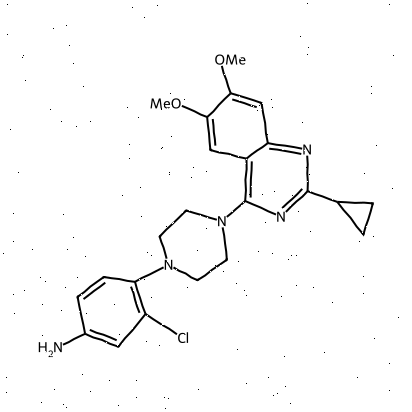 COc1cc2nc(C3CC3)nc(N3CCN(c4ccc(N)cc4Cl)CC3)c2cc1OC